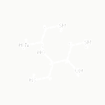 NCCS.OC(CS)C(O)CS